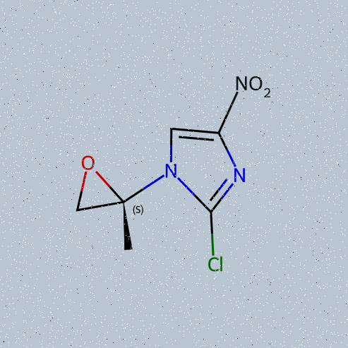 C[C@@]1(n2cc([N+](=O)[O-])nc2Cl)CO1